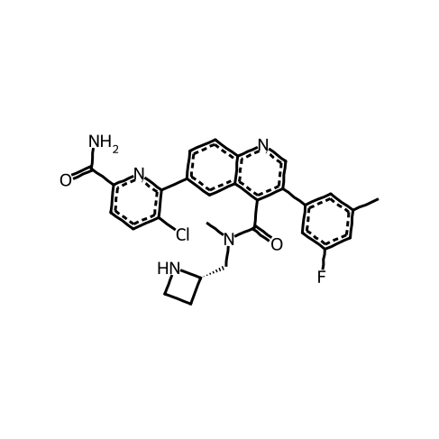 Cc1cc(F)cc(-c2cnc3ccc(-c4nc(C(N)=O)ccc4Cl)cc3c2C(=O)N(C)C[C@@H]2CCN2)c1